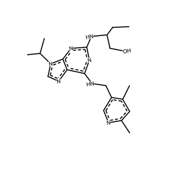 CCC(CO)Nc1nc(NCc2cnc(C)cc2C)c2ncn(C(C)C)c2n1